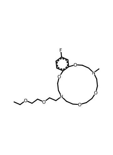 CCOCCOCCN1CCOCCOCCN(C)CCOc2cc(F)ccc2OCC1